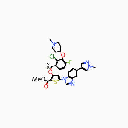 COC(=O)c1sc(-n2cnc3cc(-c4cnn(C)c4)ccc32)cc1O[C@H](C)c1ccc(F)c(OC2CCN(C)CC2)c1Cl